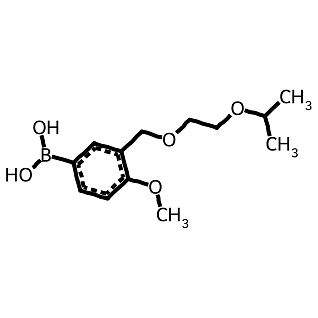 COc1ccc(B(O)O)cc1COCCOC(C)C